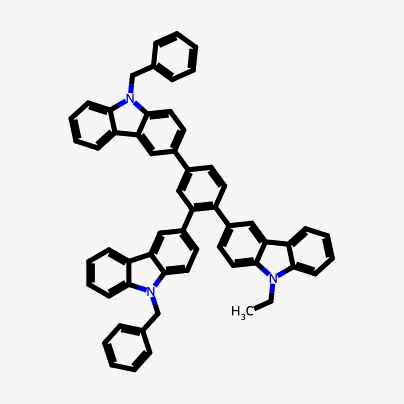 CCn1c2ccccc2c2cc(-c3ccc(-c4ccc5c(c4)c4ccccc4n5Cc4ccccc4)cc3-c3ccc4c(c3)c3ccccc3n4Cc3ccccc3)ccc21